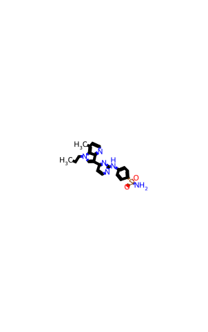 CCCn1cc(-c2ccnc(Nc3ccc(S(N)(=O)=O)cc3)n2)c2nccc(C)c21